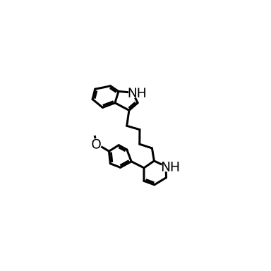 COc1ccc(C2C=CCNC2CCCCc2c[nH]c3ccccc23)cc1